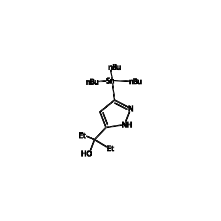 CCC[CH2][Sn]([CH2]CCC)([CH2]CCC)[c]1cc(C(O)(CC)CC)[nH]n1